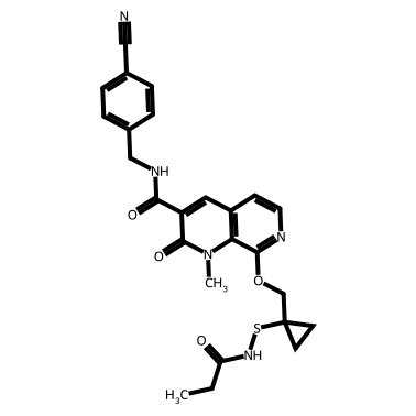 CCC(=O)NSC1(COc2nccc3cc(C(=O)NCc4ccc(C#N)cc4)c(=O)n(C)c23)CC1